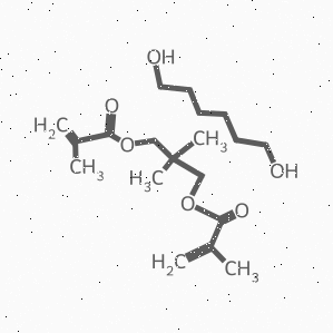 C=C(C)C(=O)OCC(C)(C)COC(=O)C(=C)C.OCCCCCCO